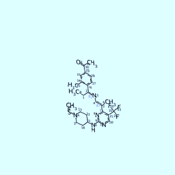 CC/C(=N\C=C(/C)c1nc(NC2CCN(SC)CC2)ncc1C(F)(F)F)c1ccc(C(C)=O)cc1C